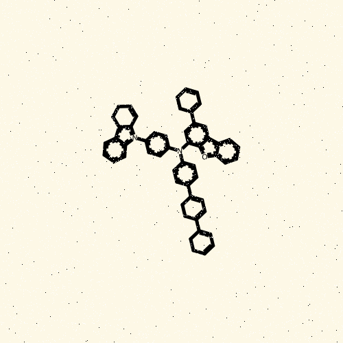 C1=CCCC(C2=CC=C(c3ccc(N(c4ccc(-n5c6c(c7ccccc75)CCC=C6)cc4)c4cc(C5=CC=CCC5)cc5c4oc4ccccc45)cc3)CC2)=C1